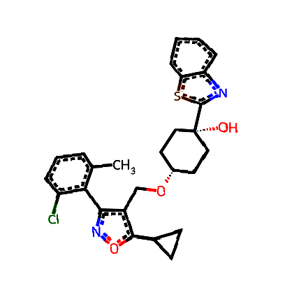 Cc1cccc(Cl)c1-c1noc(C2CC2)c1CO[C@H]1CC[C@](O)(c2nc3ccccc3s2)CC1